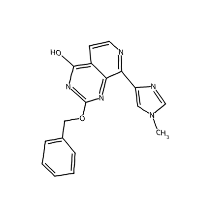 Cn1cnc(-c2nccc3c(O)nc(OCc4ccccc4)nc23)c1